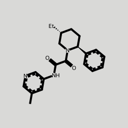 CC[C@@H]1CC[C@@H](c2ccccc2)N(C(=O)C(=O)Nc2cncc(C)c2)C1